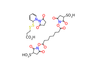 O=C(CCCCCCC(=O)ON1C(=O)CC(S(=O)(=O)O)C1=O)ON1C(=O)CC(S(=O)(=O)O)C1=O.O=C(O)CCSSC1C=CC=CN1N1C(=O)CCC1=O